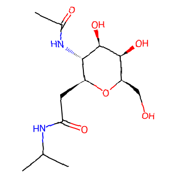 CC(=O)N[C@@H]1[C@@H](O)[C@@H](O)[C@@H](CO)O[C@H]1CC(=O)NC(C)C